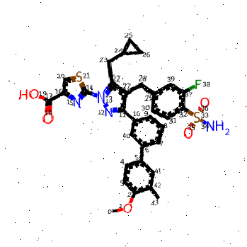 COc1ccc(-c2cccc(-c3nn(-c4nc(C(=O)O)cs4)c(CC4CC4)c3Cc3ccc(S(N)(=O)=O)c(F)c3)c2)cc1C